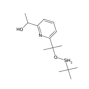 CC(O)c1cccc(C(C)(C)O[SiH2]C(C)(C)C)n1